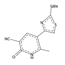 CSc1nc(-c2cc(C#N)c(=O)[nH]c2C)cs1